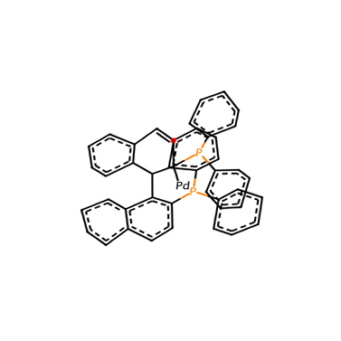 [Pd][C]1(P(c2ccccc2)c2ccccc2)C=Cc2ccccc2C1c1c(P(c2ccccc2)c2ccccc2)ccc2ccccc12